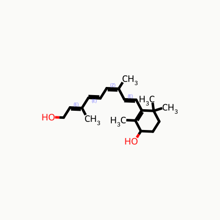 CC1=C(/C=C/C(C)=C\C=C\C(C)=C\CO)C(C)(C)CCC1O